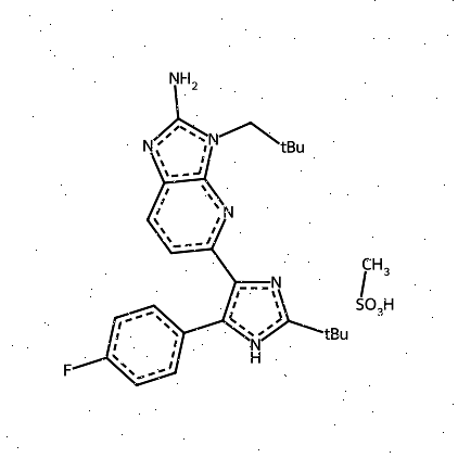 CC(C)(C)Cn1c(N)nc2ccc(-c3nc(C(C)(C)C)[nH]c3-c3ccc(F)cc3)nc21.CS(=O)(=O)O